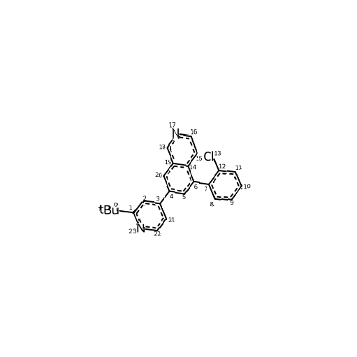 CC(C)(C)c1cc(-c2cc(-c3cc[c]cc3Cl)c3ccncc3c2)ccn1